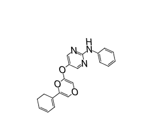 C1=CCCC(C2=COC=C(Oc3cnc(Nc4ccccc4)nc3)O2)=C1